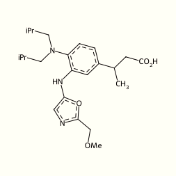 COCc1ncc(Nc2cc(C(C)CC(=O)O)ccc2N(CC(C)C)CC(C)C)o1